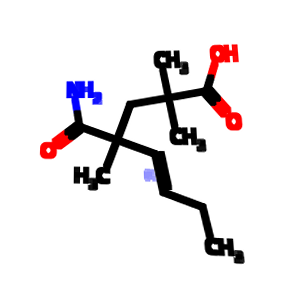 CC/C=C/C(C)(CC(C)(C)C(=O)O)C(N)=O